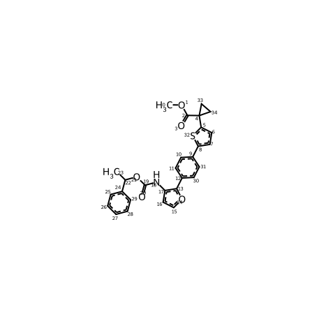 COC(=O)C1(c2ccc(-c3ccc(-c4occc4NC(=O)OC(C)c4ccccc4)cc3)s2)CC1